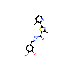 COc1ccc(/C=N/NC(=O)c2sc(-c3ncccc3C)nc2C)cc1O